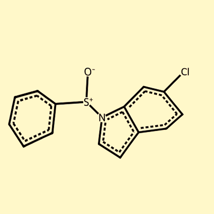 [O-][S+](c1ccccc1)n1ccc2ccc(Cl)cc21